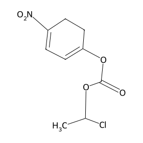 CC(Cl)OC(=O)OC1=CC=C([N+](=O)[O-])CC1